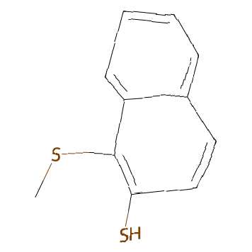 CSc1c(S)ccc2ccccc12